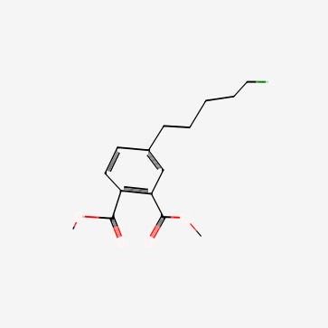 COC(=O)c1ccc(CCCCCF)cc1C(=O)OC